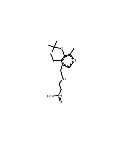 Cc1ncc(CNCC[PH](=O)O)c2c1OC(C)(C)OC2